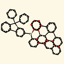 c1ccc(-c2ccccc2-c2c(-c3ccccc3)cccc2-c2cccc(N(c3cccc(-c4ccc5ccccc5c4)c3)c3ccc4c(c3)C(c3ccccc3)(c3ccccc3)c3ccccc3-4)c2)cc1